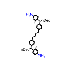 CCCCCCCCCCC(c1ccc(CCCCc2ccc(C(CCCCCCCCCC)c3ccc(N)cc3C)cc2)cc1)c1ccc(N)cc1C